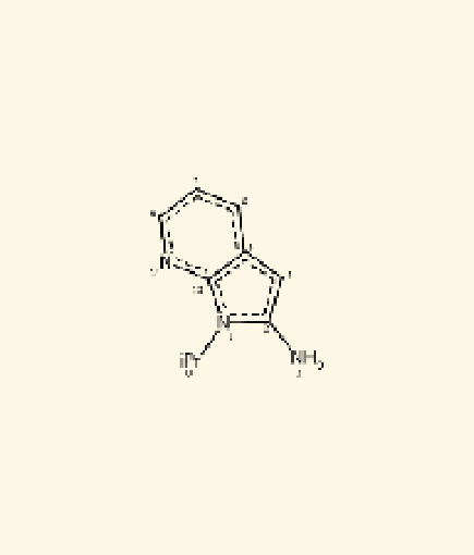 CC(C)n1c(N)cc2cccnc21